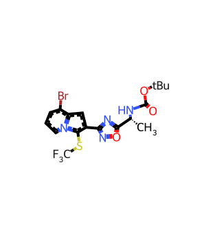 C[C@@H](NC(=O)OC(C)(C)C)c1nc(-c2cc3c(Br)cccn3c2SC(F)(F)F)no1